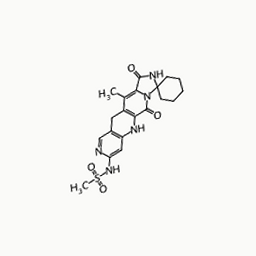 Cc1c2c(c(=O)n3c1C(=O)NC31CCCCC1)Nc1cc(NS(C)(=O)=O)ncc1C2